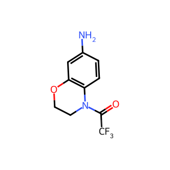 Nc1ccc2c(c1)OCCN2C(=O)C(F)(F)F